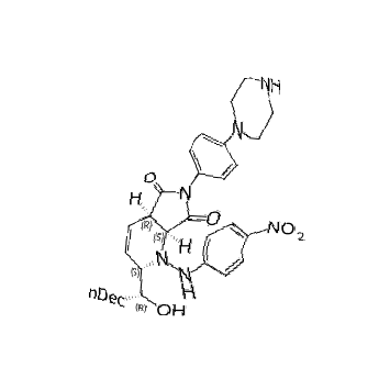 CCCCCCCCCC[C@@H](O)[C@@H]1C=C[C@H]2C(=O)N(c3ccc(N4CCNCC4)cc3)C(=O)[C@H]2N1Nc1ccc([N+](=O)[O-])cc1